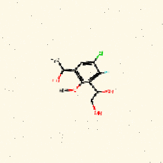 CCOc1c(C(C)O)cc(Cl)c(F)c1C(O)CO